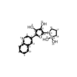 Oc1c(-c2cnc3ccccc3c2)oc(N2CCCS2(O)O)c1O